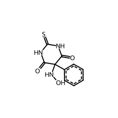 O=C1NC(=S)NC(=O)C1(NO)c1ccccc1